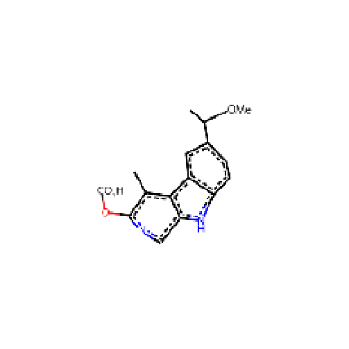 COC(C)c1ccc2[nH]c3cnc(OC(=O)O)c(C)c3c2c1